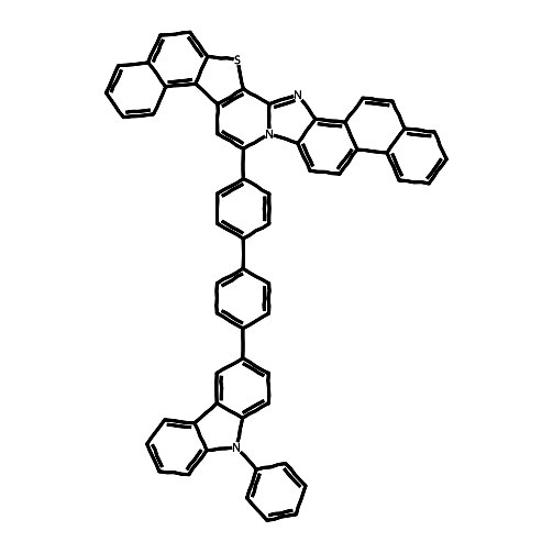 c1ccc(-n2c3ccccc3c3cc(-c4ccc(-c5ccc(-c6cc7c(sc8ccc9ccccc9c87)c7nc8c9ccc%10ccccc%10c9ccc8n67)cc5)cc4)ccc32)cc1